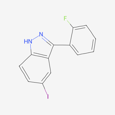 Fc1ccccc1-c1n[nH]c2ccc(I)cc12